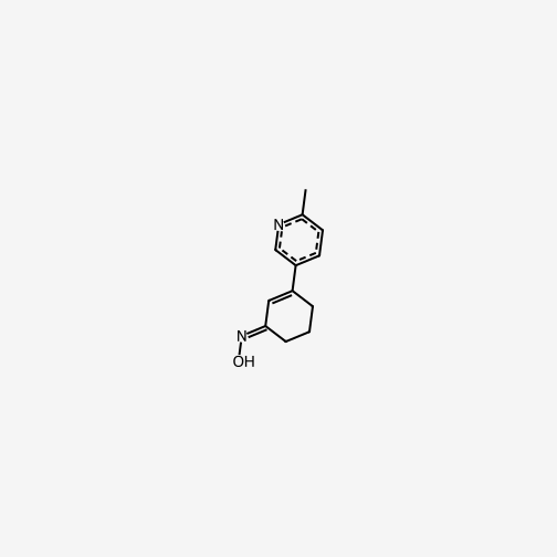 Cc1ccc(C2=C/C(=N/O)CCC2)cn1